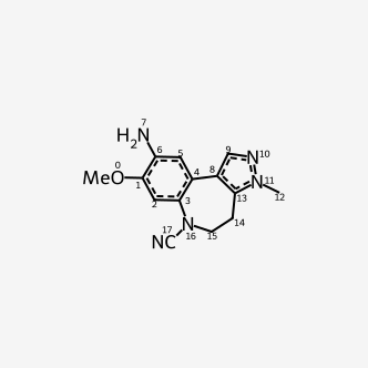 COc1cc2c(cc1N)-c1cnn(C)c1CCN2C#N